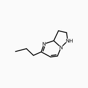 CCCC1=NC2CCNN2C=C1